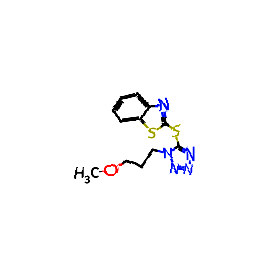 COCCCn1nnnc1Sc1nc2ccccc2s1